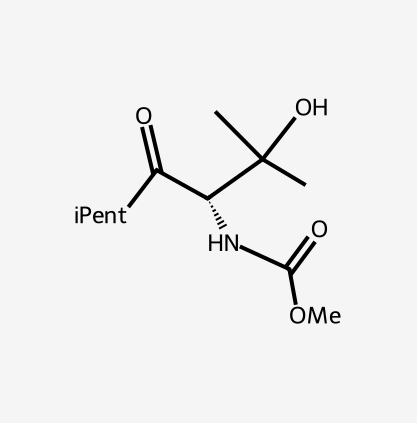 CCCC(C)C(=O)[C@@H](NC(=O)OC)C(C)(C)O